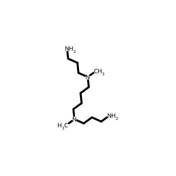 CN(CCCN)CCCCN(C)CCCN